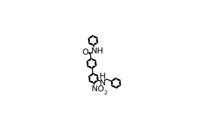 O=C(Nc1ccccc1)c1ccc(-c2ccc([N+](=O)[O-])c(NCc3ccccc3)c2)cc1